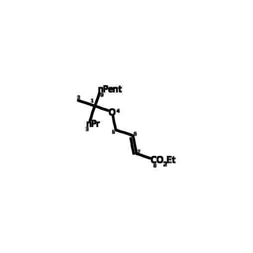 CCCCCC(C)(CCC)OC/C=C/C(=O)OCC